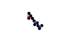 c1ccc(-c2ccc(-c3ccc(-c4ccc(-n5c6ccccc6c6c(-c7ccc8c9ccccc9n(-c9ccccc9)c8c7)cccc65)cc4)cc3)c3c2oc2ccccc23)cc1